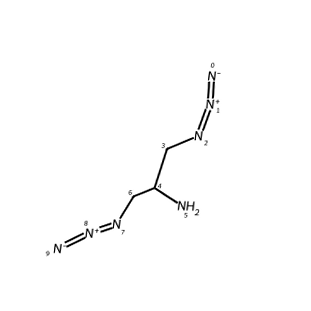 [N-]=[N+]=NCC(N)CN=[N+]=[N-]